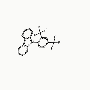 FC(F)(F)c1ccc(-n2c3ccccc3c3ccccc32)c(C(F)(F)F)c1